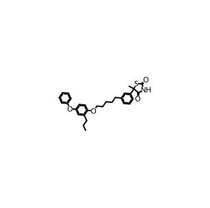 CCCc1cc(Oc2ccccc2)ccc1OCCCCCc1cccc(C2(C)SC(=O)NC2=O)c1